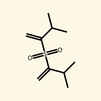 C=C(C(C)C)S(=O)(=O)C(=C)C(C)C